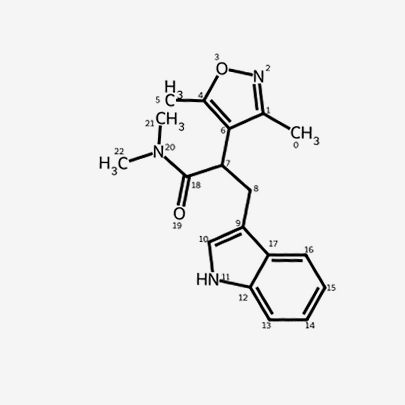 Cc1noc(C)c1C(Cc1c[nH]c2ccccc12)C(=O)N(C)C